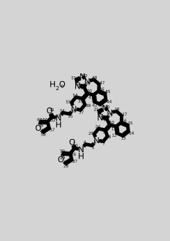 O.O=C(NCCN1CCC(=C2c3ccccc3CCn3ncnc32)CC1)c1ccoc1.O=C(NCCN1CCC(=C2c3ccccc3CCn3ncnc32)CC1)c1ccoc1